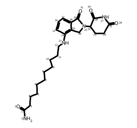 NC(=O)CCCCCCCCCCNc1cccc2c1CN(C1CCC(=O)NC1=O)C2=O